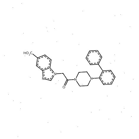 O=C(O)c1ccc2c(c1)ncn2CC(=O)N1CCN(c2ccccc2-c2ccccc2)CC1